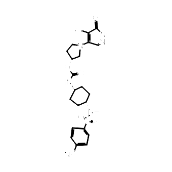 N#Cc1ccc(S(=O)(=O)N[C@H]2CC[C@H](NC(=O)O[C@@H]3CCN(c4cn[nH]c(=O)c4Cl)C3)CC2)cc1